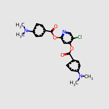 CN(C)c1ccc(C(=O)Oc2cc(OC(=O)c3ccc(N(C)C)cc3)c(Cl)cn2)cc1